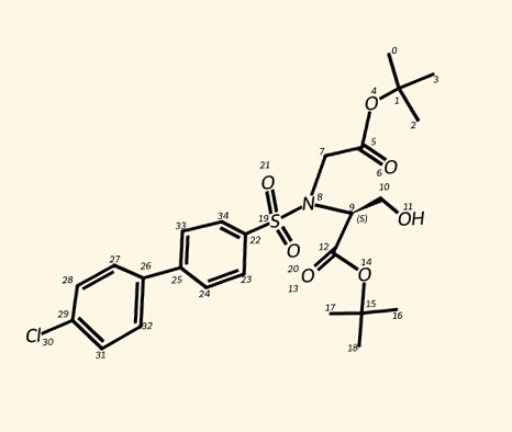 CC(C)(C)OC(=O)CN([C@@H](CO)C(=O)OC(C)(C)C)S(=O)(=O)c1ccc(-c2ccc(Cl)cc2)cc1